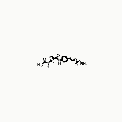 CC(=O)Nc1nc(C(=O)Nc2ccc(CCOC(=O)NN)cc2)cs1